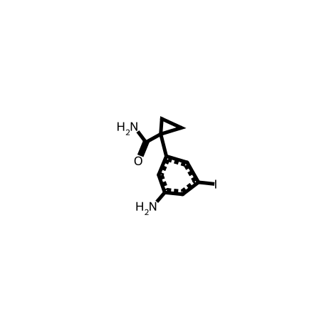 NC(=O)C1(c2cc(N)cc(I)c2)CC1